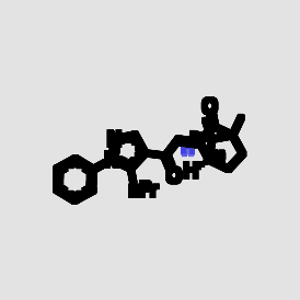 CCCc1c(C(=O)/C=C2/C(=O)C3(C)CC[C@@H]2C3(C)C)cnn1-c1ccccc1